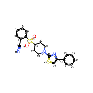 N#Cc1ccccc1S(=O)(=O)C1CCN(c2nc(-c3ccccc3)cs2)CC1